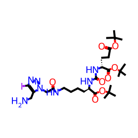 CC(C)(C)OC(=O)CC[C@@H](NC(=O)N[C@H](CCCCNC(=O)Cn1nnc(I)c1CN)C(=O)OC(C)(C)C)C(=O)OC(C)(C)C